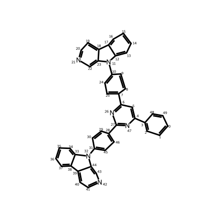 c1ccc(-c2cc(-c3ccc(-n4c5ccccc5c5ccncc54)cc3)nc(-c3ccc(-n4c5ccccc5c5ccncc54)cc3)n2)cc1